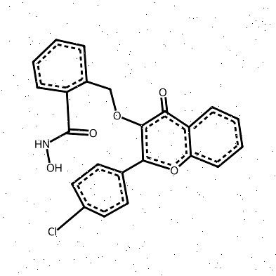 O=C(NO)c1ccccc1COc1c(-c2ccc(Cl)cc2)oc2ccccc2c1=O